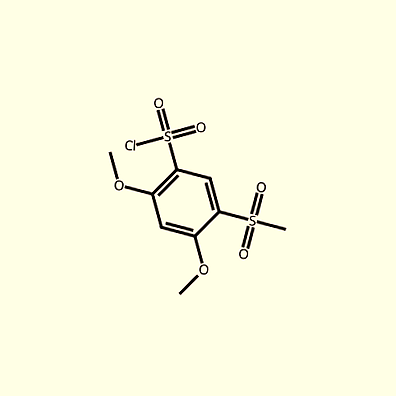 COc1cc(OC)c(S(=O)(=O)Cl)cc1S(C)(=O)=O